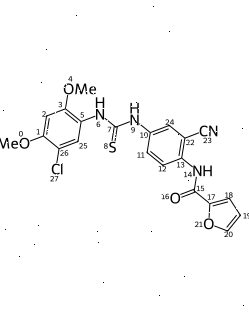 COc1cc(OC)c(NC(=S)Nc2ccc(NC(=O)c3ccco3)c(C#N)c2)cc1Cl